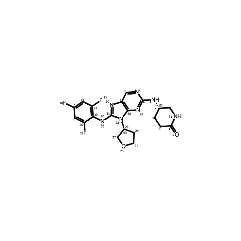 O=C1CC[C@H](Nc2ncc3nc(Nc4c(F)cc(F)cc4F)n([C@H]4CCOC4)c3n2)CN1